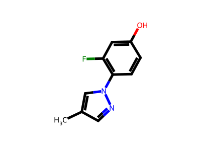 Cc1cnn(-c2ccc(O)cc2F)c1